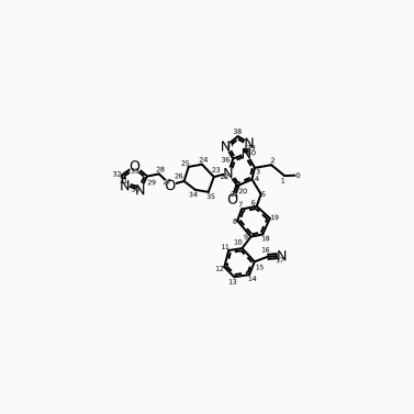 CCCc1c(Cc2ccc(-c3ccccc3C#N)cc2)c(=O)n(C2CCC(OCc3nnco3)CC2)c2ncnn12